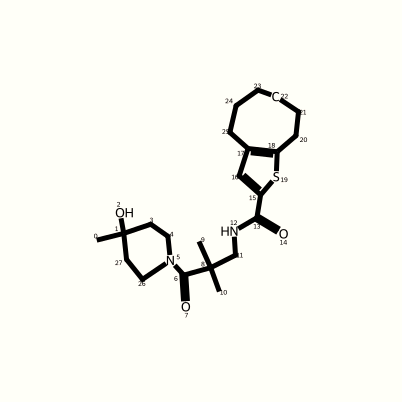 CC1(O)CCN(C(=O)C(C)(C)CNC(=O)c2cc3c(s2)CCCCCC3)CC1